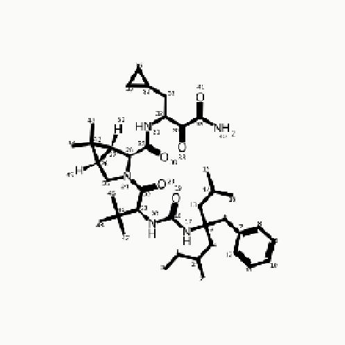 CCC(C)CC(Cc1ccccc1)(CC(C)C)NC(=O)N[C@H](C(=O)N1C[C@H]2[C@@H]([C@H]1C(=O)NC(CC1CC1)C(=O)C(N)=O)C2(C)C)C(C)(C)C